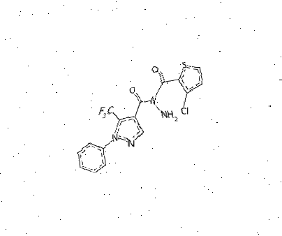 NN(C(=O)c1cnn(-c2ccccc2)c1C(F)(F)F)C(=O)c1sccc1Cl